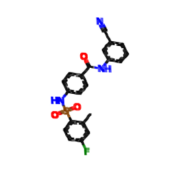 Cc1cc(F)ccc1S(=O)(=O)Nc1ccc(C(=O)Nc2cccc(C#N)c2)cc1